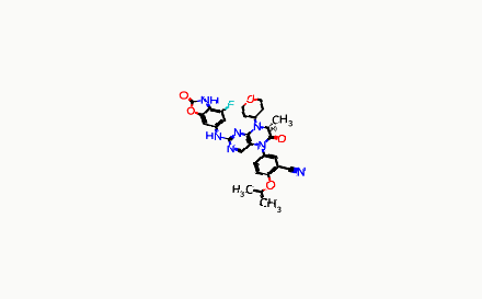 CC(C)Oc1ccc(N2C(=O)[C@@H](C)N(C3CCOCC3)c3nc(Nc4cc(F)c5[nH]c(=O)oc5c4)ncc32)cc1C#N